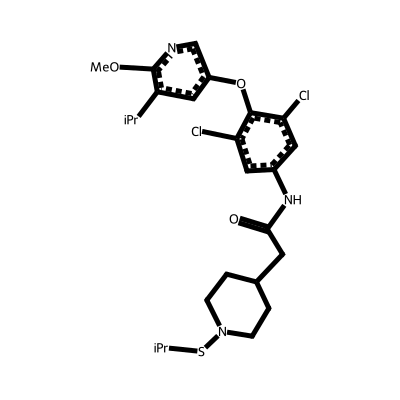 COc1ncc(Oc2c(Cl)cc(NC(=O)CC3CCN(SC(C)C)CC3)cc2Cl)cc1C(C)C